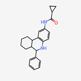 O=C(Nc1ccc2c(c1)C1CCCCC1C(c1ccccc1)N2)C1CC1